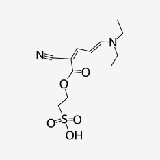 CCN(C=CC=C(C#N)C(=O)OCCS(=O)(=O)O)CC